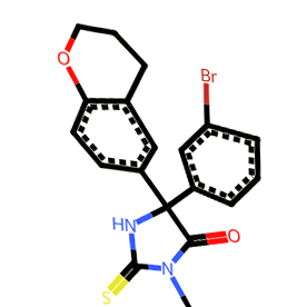 CN1C(=O)C(c2cccc(Br)c2)(c2ccc3c(c2)CCCO3)NC1=S